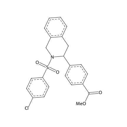 COC(=O)c1ccc(C2Cc3ccccc3CN2S(=O)(=O)c2ccc(Cl)cc2)cc1